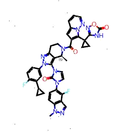 C[C@H]1c2c(nn(-c3ccc(F)c(C4CC4)c3)c2-n2ccn(-c3ccc4c(cnn4C)c3F)c2=O)CCN1C(=O)c1cc2cccnn2c1C1(c2noc(=O)[nH]2)CC1